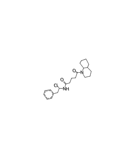 O=C(CCCC(=O)N1CCCC2CCCCC21)NC(Cl)Cc1ccccc1